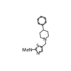 CNc1ncc(CN2CCC(c3ccccc3)CC2)s1